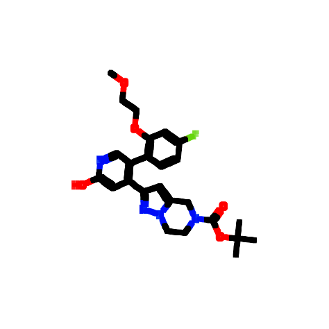 COCCOc1cc(F)ccc1-c1cnc(O)cc1-c1cc2n(n1)CCN(C(=O)OC(C)(C)C)C2